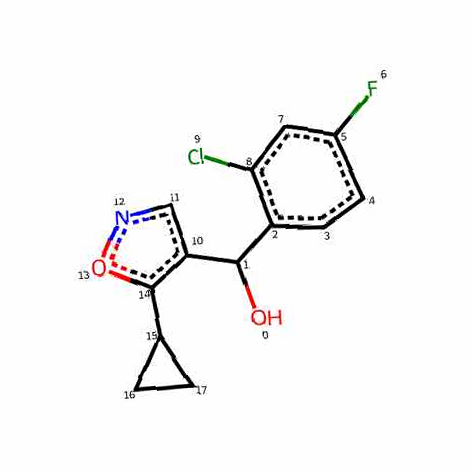 OC(c1ccc(F)cc1Cl)c1cnoc1C1CC1